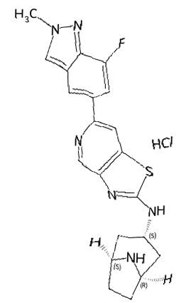 Cl.Cn1cc2cc(-c3cc4sc(N[C@@H]5C[C@H]6CC[C@@H](C5)N6)nc4cn3)cc(F)c2n1